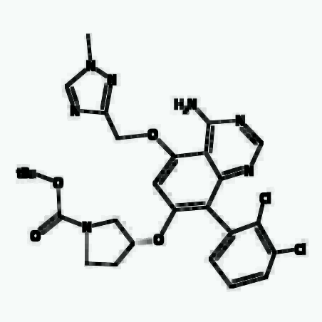 Cn1cnc(COc2cc(O[C@@H]3CCN(C(=O)OC(C)(C)C)C3)c(-c3cccc(Cl)c3Cl)c3ncnc(N)c23)n1